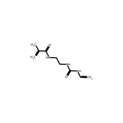 C=CNC(=O)NCCNC(=O)C(=C)C